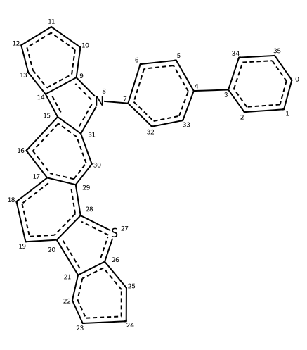 c1ccc(-c2ccc(-n3c4ccccc4c4cc5ccc6c7ccccc7sc6c5cc43)cc2)cc1